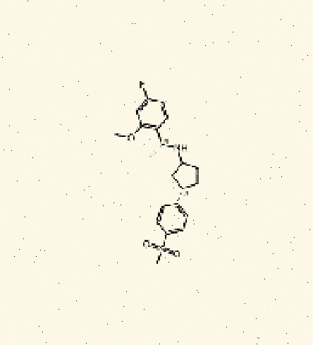 COc1cc(F)ccc1[C@@H](C)NC1CC[C@H](c2ccc(S(C)(=O)=O)cc2)C1